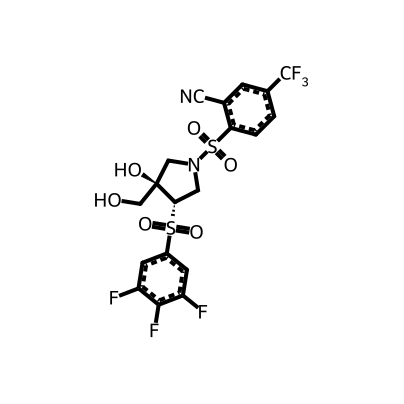 N#Cc1cc(C(F)(F)F)ccc1S(=O)(=O)N1C[C@H](S(=O)(=O)c2cc(F)c(F)c(F)c2)[C@](O)(CO)C1